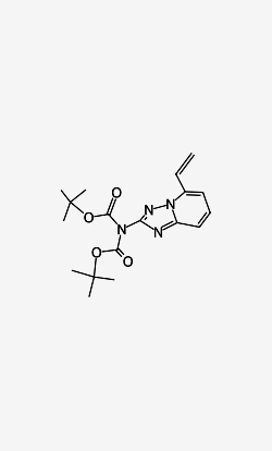 C=Cc1cccc2nc(N(C(=O)OC(C)(C)C)C(=O)OC(C)(C)C)nn12